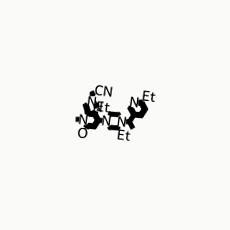 CCc1ccc(C(C)N2C[C@H](CC)N(c3cc(=O)n(C)c4cn(CC#N)nc34)C[C@H]2CC)cn1